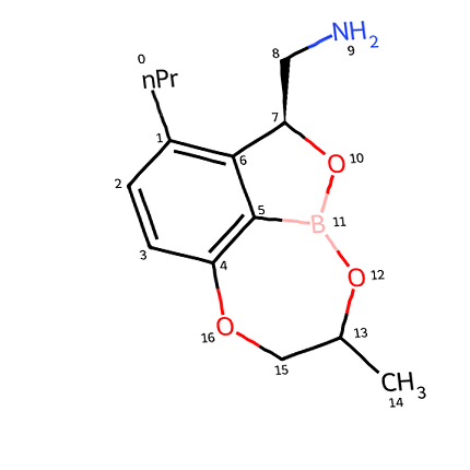 CCCc1ccc2c3c1[C@@H](CN)OB3OC(C)CO2